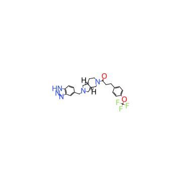 O=C(CCc1ccc(OC(F)(F)F)cc1)N1CC[C@@H]2CN(Cc3ccc4[nH]nnc4c3)C[C@H]2C1